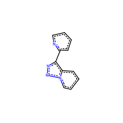 c1ccc(-c2nnn3ccccc23)nc1